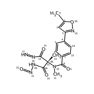 Cc1cc(-c2ccc(C(=O)N(C)[C@@](C)(C(=O)N=N)C(=O)NN=O)cc2)no1